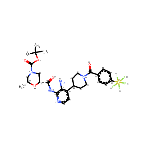 C[C@@H]1CN(C(=O)OC(C)(C)C)C[C@H](C(=O)Nc2nccc(C3CCN(C(=O)c4ccc(S(F)(F)(F)(F)F)cc4)CC3)c2N)O1